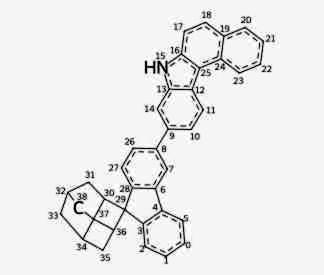 c1ccc2c(c1)-c1cc(-c3ccc4c(c3)[nH]c3ccc5ccccc5c34)ccc1C21C2CC3CC4CC1C42C3